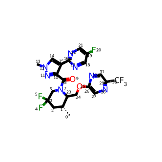 C[C@@H]1CC(F)(F)CN(C(=O)c2nn(C)cc2-c2ncc(F)cn2)C1COc1cnc(C(F)(F)F)cn1